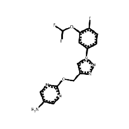 Nc1cnc(OCc2cn(-c3ccc(F)c(OC(F)F)c3)nn2)nc1